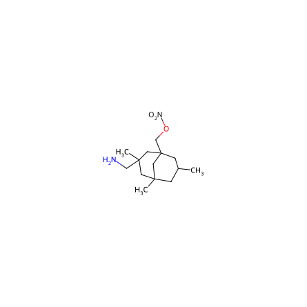 CC1CC2(C)CC(C)(CN)CC(CO[N+](=O)[O-])(C1)C2